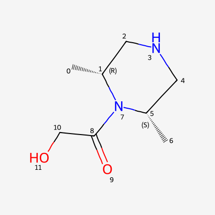 C[C@@H]1CNC[C@H](C)N1C(=O)CO